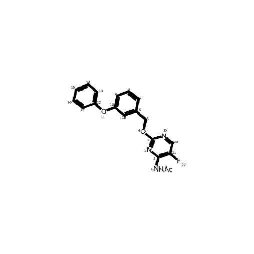 CC(=O)Nc1nc(OCc2cccc(Oc3ccccc3)c2)ncc1F